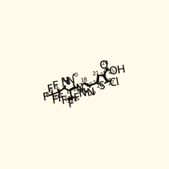 Cn1nc(C(F)(F)C(F)(F)F)c(C(F)(F)F)c1-n1cc(-c2cc(C(=O)O)c(Cl)s2)nn1